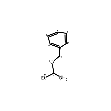 CCC(N)OCc1ccccc1